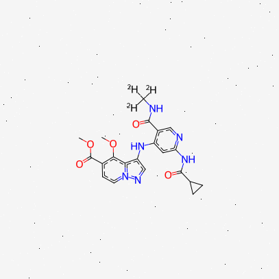 [2H]C([2H])([2H])NC(=O)c1cnc(NC(=O)C2CC2)cc1Nc1cnn2ccc(C(=O)OC)c(OC)c12